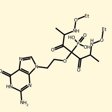 CCONC(C)C(=O)C(OCCn1cnc2c(=O)[nH]c(N)nc21)(C(=O)C(C)NOCC)P(=O)(O)O